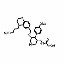 COCCCN1CCOc2ccc(CO[C@H]3CNC[C@@H](CNC(=O)CO)[C@@H]3c3ccc(OC)cc3)cc21